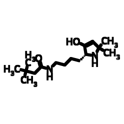 CC(C)(C)CC(=O)NCCCC[C@H]1NC(C)(C)C=C1O